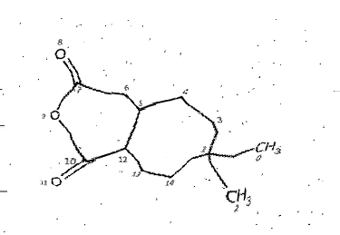 CC1(C)CCC2CC(=O)OC(=O)C2CC1